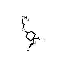 CCCOC1CCC(C)(N=C=O)CC1